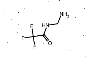 NCNC(=O)C(F)(F)F